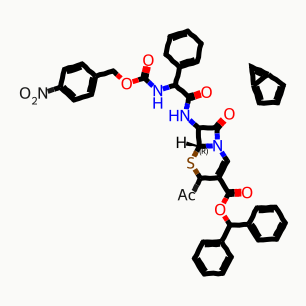 CC(=O)C1S[C@@H]2C(NC(=O)C(NC(=O)OCc3ccc([N+](=O)[O-])cc3)C3=CCC=CC3)C(=O)N2C=C1C(=O)OC(c1ccccc1)c1ccccc1.c1cc2cc-2c1